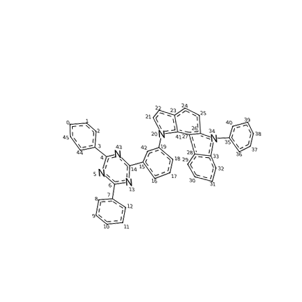 c1ccc(-c2nc(-c3ccccc3)nc(-c3cccc(-n4ccc5ccc6c(c7ccccc7n6-c6ccccc6)c54)c3)n2)cc1